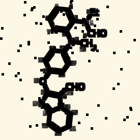 CCN(C=O)c1cccnc1N(C)c1ccc(Oc2nc3ccccn3c2C=O)cc1